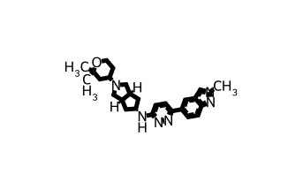 Cn1cc2cc(-c3ccc(N[C@@H]4C[C@@H]5CN(C6CCOC(C)(C)C6)C[C@@H]5C4)nn3)ccc2n1